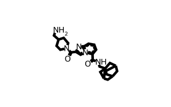 NCC1CCN(C(=O)c2cn3c(C(=O)NCC45CC6CC(CC(C6)C4)C5)cccc3n2)CC1